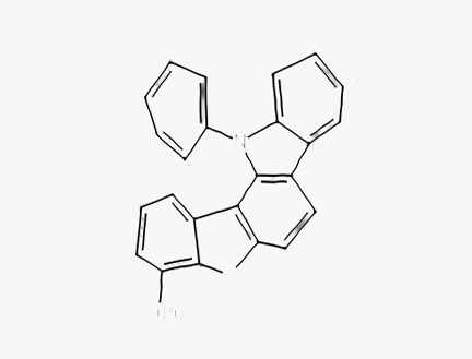 CC(C)(C)c1cccc2c1sc1ccc3c4ccccc4n(-c4ccccc4)c3c12